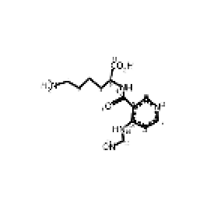 NCCCC[C@H](NC(=O)c1cnccc1NCN=O)C(=O)O